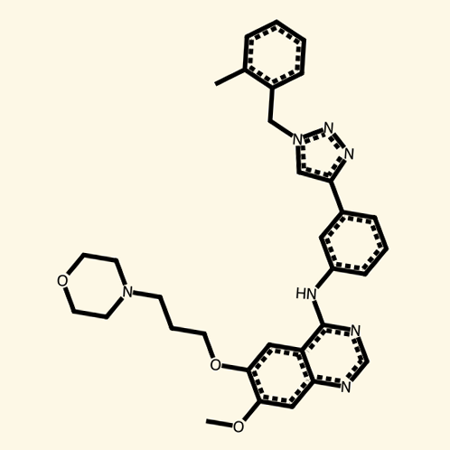 COc1cc2ncnc(Nc3cccc(-c4cn(Cc5ccccc5C)nn4)c3)c2cc1OCCCN1CCOCC1